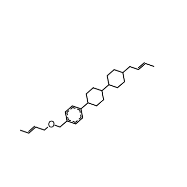 CC=CCOCc1ccc(C2CCC(C3CCC(CC=CC)CC3)CC2)cc1